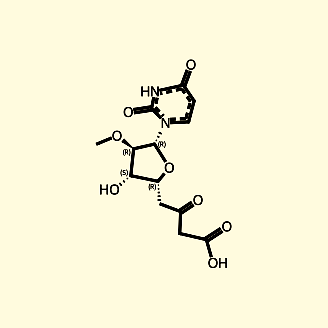 CO[C@@H]1[C@@H](O)[C@@H](CC(=O)CC(=O)O)O[C@H]1n1ccc(=O)[nH]c1=O